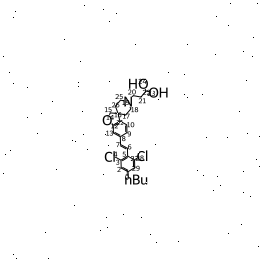 CCCCc1cc(Cl)c(/C=C/c2ccc3c(c2)OCC32CCN(CCC(O)O)CC2)c(Cl)c1